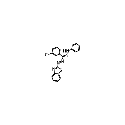 Clc1cccc(C(/N=N/c2nc3ccccc3s2)=N\Nc2ccccc2)c1